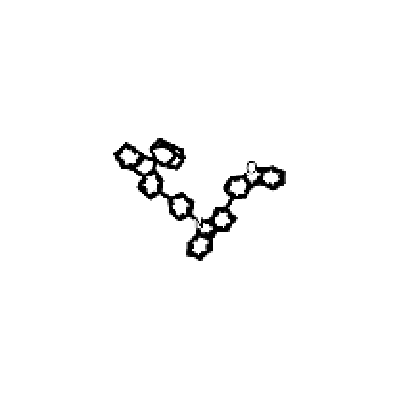 c1ccc2c(c1)-c1ccc(-c3ccc(-n4c5ccccc5c5ccc(-c6ccc7oc8ccccc8c7c6)cc54)cc3)cc1C21C2CC3CC(C2)CC1C3